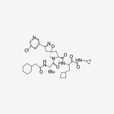 CC(C)(C)[C@H](NC(=O)CC1CCCCC1)C(=O)N1C[C@@]2(CC(c3cncc(Cl)c3)=NO2)C[C@H]1C(=O)NC(CC1CCC1)C(=O)C(=O)NC1CC1